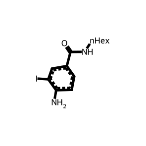 CCCCCCNC(=O)c1ccc(N)c(I)c1